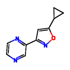 c1cnc(-c2cc(C3CC3)on2)cn1